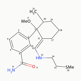 COC1(c2cccc(C(N)=O)c2)/C(=C/NCCSC)CCCC1C